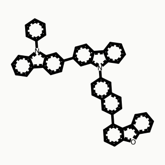 c1ccc(-n2c3ccccc3c3ccc(-c4ccc5c6ccccc6n(-c6ccc7cc(-c8cccc9oc%10ccccc%10c89)ccc7c6)c5c4)cc32)cc1